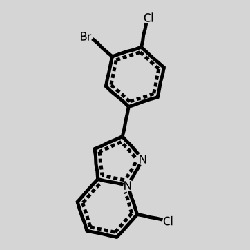 Clc1ccc(-c2cc3cccc(Cl)n3n2)cc1Br